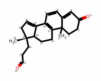 CC12CCC(=O)C=C1C=CC1=C2CCC2C1=CC[C@@]2(C)CCC=O